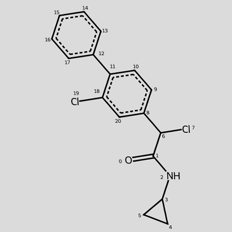 O=C(NC1CC1)C(Cl)c1ccc(-c2ccccc2)c(Cl)c1